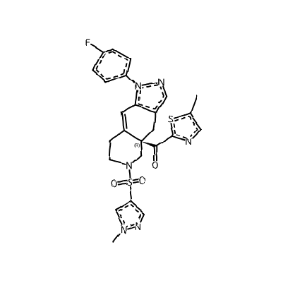 Cc1cnc(C(=O)[C@]23Cc4cnn(-c5ccc(F)cc5)c4C=C2CCN(S(=O)(=O)c2cnn(C)c2)C3)s1